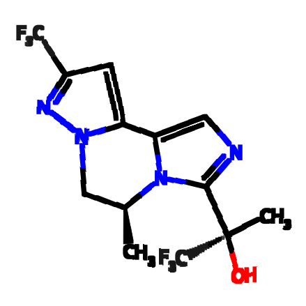 C[C@H]1Cn2nc(C(F)(F)F)cc2-c2cnc([C@@](C)(O)C(F)(F)F)n21